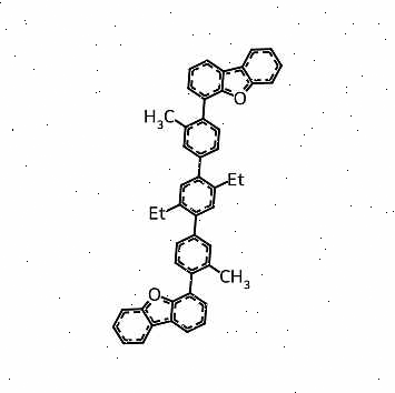 CCc1cc(-c2ccc(-c3cccc4c3oc3ccccc34)c(C)c2)c(CC)cc1-c1ccc(-c2cccc3c2oc2ccccc23)c(C)c1